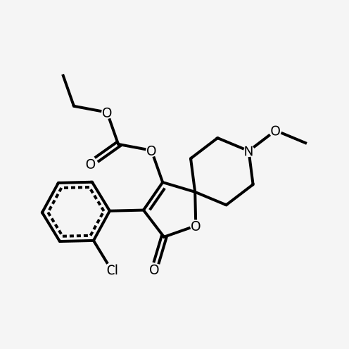 CCOC(=O)OC1=C(c2ccccc2Cl)C(=O)OC12CCN(OC)CC2